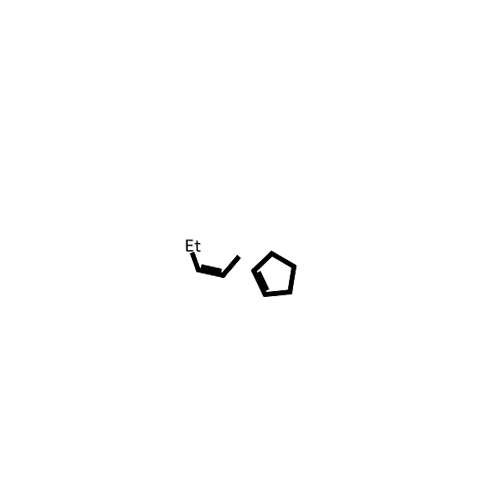 C/C=C\CC.C1=CCCC1